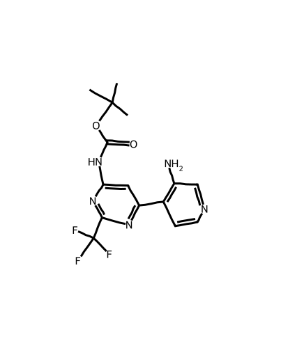 CC(C)(C)OC(=O)Nc1cc(-c2ccncc2N)nc(C(F)(F)F)n1